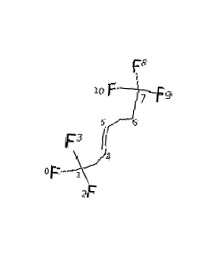 FC(F)(F)C=CCC(F)(F)F